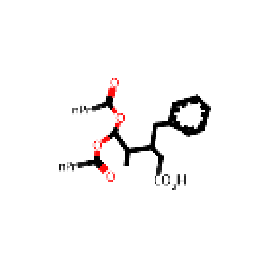 CCCC(=O)OC(OC(=O)CCC)C(C)C(CC(=O)O)Cc1ccccc1